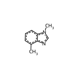 Cc1cccc2c1ncn2C